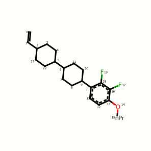 C=CC1CCC(C2CCC(c3ccc(OCCC)c(F)c3F)CC2)CC1